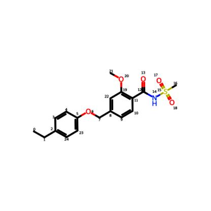 CCc1ccc(OCc2ccc(C(=O)NS(C)(=O)=O)c(OC)c2)cc1